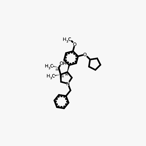 COc1ccc([C@H]2CN(Cc3ccccc3)C[C@@]2(C)[C@H](C)O)cc1OC1CCCC1